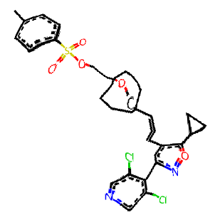 Cc1ccc(S(=O)(=O)OCC23CCC(/C=C/c4c(-c5c(Cl)cncc5Cl)noc4C4CC4)(CC2)CO3)cc1